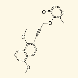 COc1cccc2c(OC)c(C#CCOc3c(C)occc3=O)ccc12